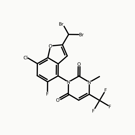 Cn1c(C(F)(F)F)cc(=O)n(-c2c(F)cc(Cl)c3oc(C(Br)Br)cc23)c1=O